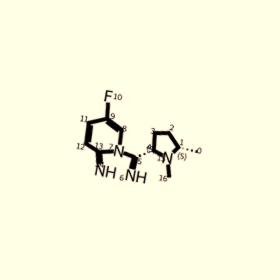 C[C@H]1CC[C@@H](C(=N)n2cc(F)ccc2=N)N1C